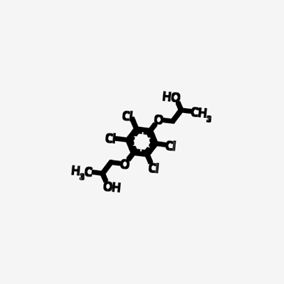 CC(O)COc1c(Cl)c(Cl)c(OCC(C)O)c(Cl)c1Cl